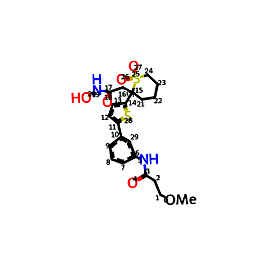 COCCC(=O)Nc1cccc(-c2ccc([C@@]3(CC(=O)NO)CCCCS3(=O)=O)s2)c1